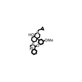 COc1cccc(C23CCN(CC4CC4)CC2(O)CC[C@@H](N(CC(C)C)C(=O)c2ccccc2)C3)c1